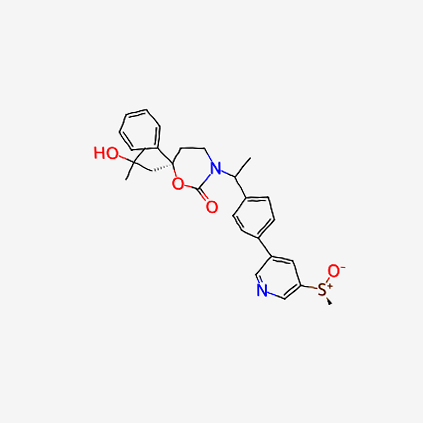 CC(c1ccc(-c2cncc([S@+](C)[O-])c2)cc1)N1CC[C@](CC(C)(C)O)(c2ccccc2)OC1=O